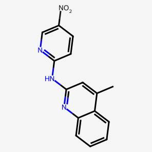 Cc1cc(Nc2ccc([N+](=O)[O-])cn2)nc2ccccc12